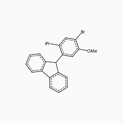 COc1cc(C2c3ccccc3-c3ccccc32)c(C(C)C)cc1Br